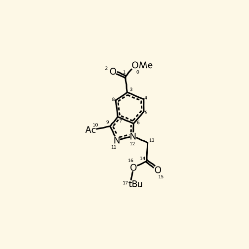 COC(=O)c1ccc2c(c1)c(C(C)=O)nn2CC(=O)OC(C)(C)C